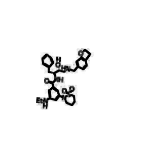 CCNc1cc(C(=O)N[C@@H](Cc2ccccc2)[C@H](O)CNCc2ccc3c(c2)OCC3)cc(N2CCCCS2(=O)=O)c1